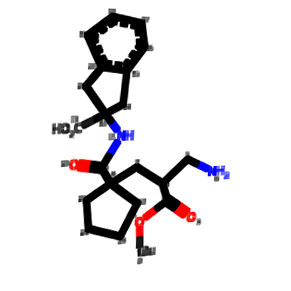 CC(C)(C)OC(=O)C(CN)CC1(C(=O)NC2(C(=O)O)Cc3ccccc3C2)CCCC1